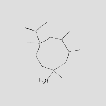 CC1CC(C)(N)CCC(C)(C(C)C)CC1C